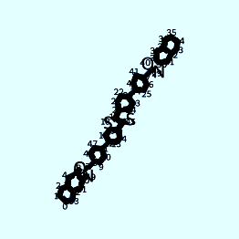 c1ccc2cc3oc(-c4ccc(-c5ccc6c(c5)sc5c7ccc(-c8ccc(-c9nc%10cc%11ccccc%11cc%10o9)cc8)cc7sc65)cc4)nc3cc2c1